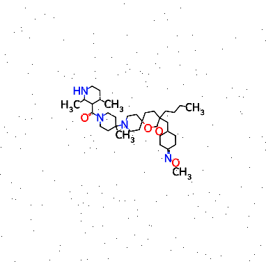 CCCCC1(CC2CCC(=NOC)CC2)CCC2(CCN(C3(C)CCN(C(=O)C4C(C)CCNC4C)CC3)CC2)OC1=O